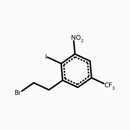 O=[N+]([O-])c1cc(C(F)(F)F)cc(CCBr)c1I